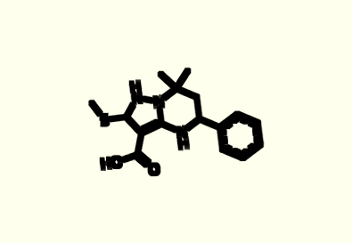 CSC1NN2C(=C1C(=O)O)NC(c1ccccc1)CC2(C)C